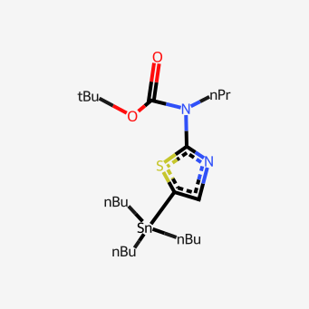 CCC[CH2][Sn]([CH2]CCC)([CH2]CCC)[c]1cnc(N(CCC)C(=O)OC(C)(C)C)s1